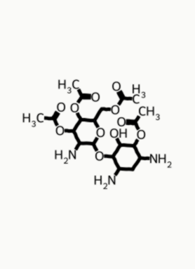 CC(=O)OCC1OC(OC2C(N)CC(N)C(OC(C)=O)C2O)C(N)C(OC(C)=O)C1OC(C)=O